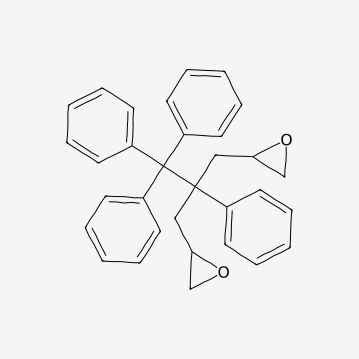 c1ccc(C(CC2CO2)(CC2CO2)C(c2ccccc2)(c2ccccc2)c2ccccc2)cc1